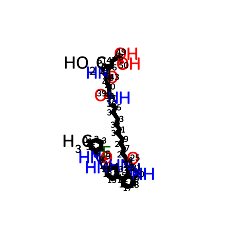 Cc1ccc(F)c(NC(=O)Nc2ccc(-c3cccc4[nH]nc(NC(=O)CCCCCCCCCCCNC(=O)CCC(=O)N[C@@H](CCC(O)O)C(=O)O)c34)cc2)c1